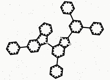 c1ccc(-c2cc(-c3ccccc3)cc(-c3nc4c(-n5c6ccccc6c6cc(-c7ccccc7)ccc65)cc(-c5ccccc5)cc4o3)c2)cc1